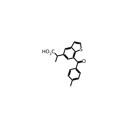 Cc1ccc(C(=O)c2cc(C(C)C(=O)O)cc3ccsc23)cc1